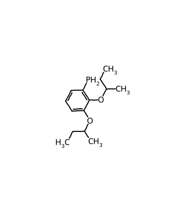 CCC(C)Oc1cccc(P)c1OC(C)CC